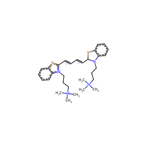 C[N+](C)(C)CCCN1c2ccccc2SC1/C=C/C=C/c1sc2ccccc2[n+]1CCC[N+](C)(C)C